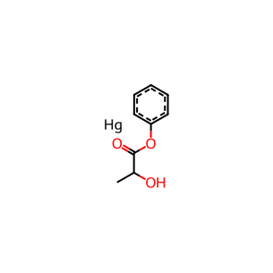 CC(O)C(=O)Oc1ccccc1.[Hg]